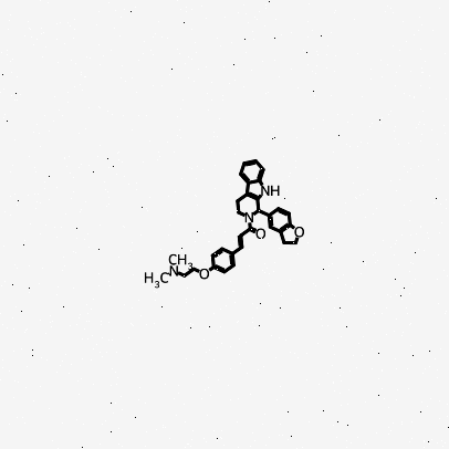 CN(C)CCOc1ccc(/C=C/C(=O)N2CCc3c([nH]c4ccccc34)C2c2ccc3c(c2)CCO3)cc1